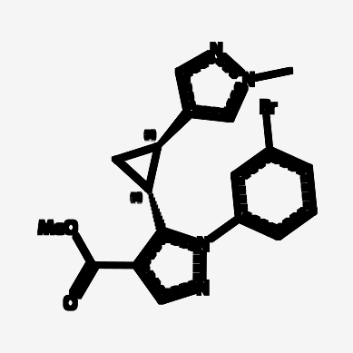 COC(=O)c1cnn(-c2cccc(Br)c2)c1[C@@H]1C[C@H]1c1cnn(C)c1